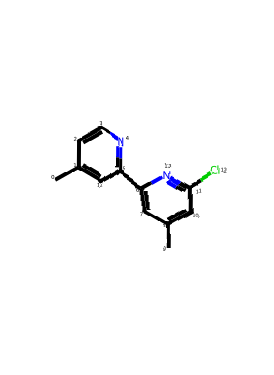 Cc1ccnc(-c2cc(C)cc(Cl)n2)c1